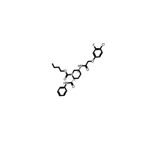 CCCCOC(=O)N1C[C@@H](NC(=O)COc2ccc(Cl)c(F)c2)CC[C@@H]1C(=O)Nc1ccccc1